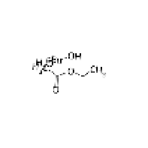 CCCCO.CCOC(C)=O.O